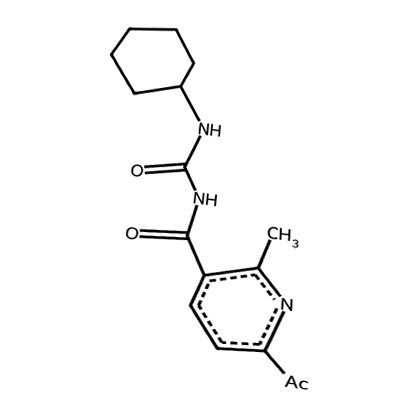 CC(=O)c1ccc(C(=O)NC(=O)NC2CCCCC2)c(C)n1